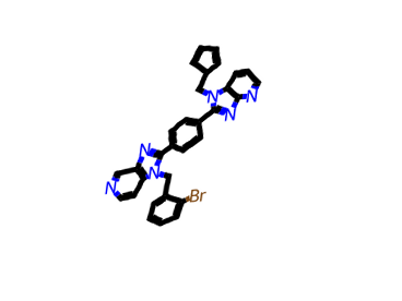 Brc1ccccc1Cn1c(-c2ccc(C3=NC4N=CC=CC4N3CC3C=CC=C3)cc2)nc2cnccc21